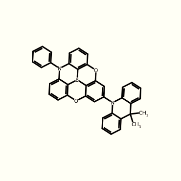 CC1(C)c2ccccc2N(c2cc3c4c(c2)Oc2cccc5c2B4c2c(cccc2N5c2ccccc2)O3)c2ccccc21